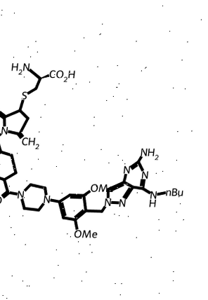 C=C1CC(SC[C@@H](N)C(=O)O)C(=O)N1CC1CCC(C(=O)N2CCN(c3cc(OC)c(Cn4cc5nc(N)nc(NCCCC)c5n4)c(OC)c3)CC2)CC1